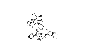 CCn1nccc1C(=O)N[C@H](C(=O)Nc1ccc([C@H](C)[C@@H](NC(=O)[C@H](C)N(C)c2ncncn2)C(=O)N2CCN(C)[C@H](C)C2)cc1F)C(C1CC1)C1CC1